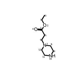 CCOC(=O)CCN1CCNCC1